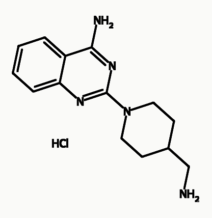 Cl.NCC1CCN(c2nc(N)c3ccccc3n2)CC1